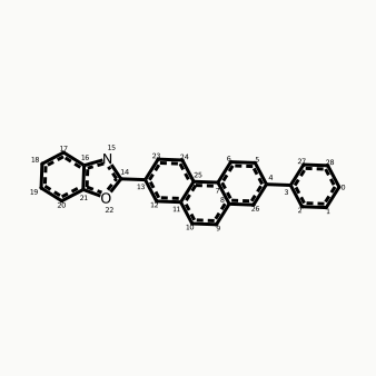 c1ccc(-c2ccc3c(ccc4cc(-c5nc6ccccc6o5)ccc43)c2)cc1